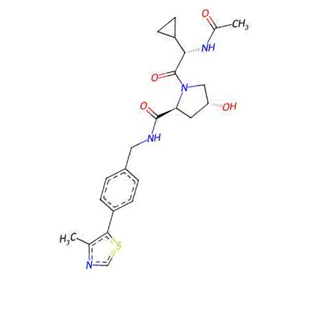 CC(=O)N[C@H](C(=O)N1C[C@H](O)C[C@H]1C(=O)NCc1ccc(-c2scnc2C)cc1)C1CC1